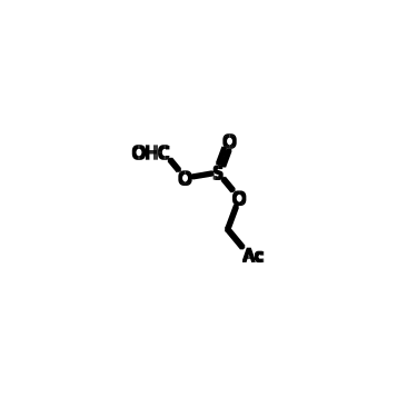 CC(=O)COS(=O)OC=O